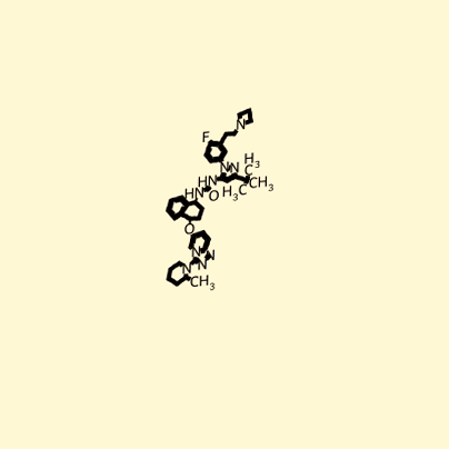 CC1CCCCN1c1nnc2ccc(O[C@@H]3CC[C@H](NC(=O)Nc4cc(C(C)(C)C)nn4-c4ccc(F)c(CCN5CCC5)c4)c4ccccc43)cn12